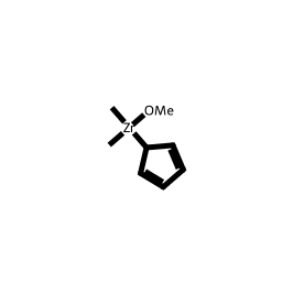 C[O][Zr]([CH3])([CH3])[CH]1C=CC=C1